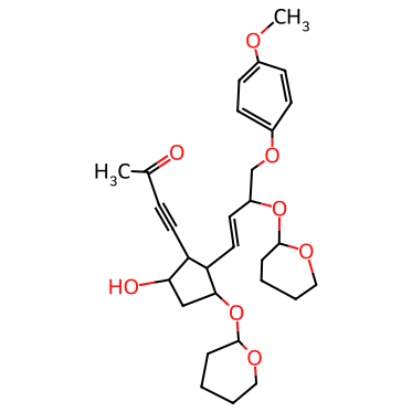 COc1ccc(OCC(C=CC2C(OC3CCCCO3)CC(O)C2C#CC(C)=O)OC2CCCCO2)cc1